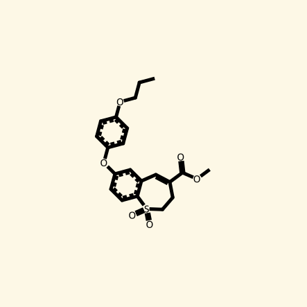 CCCOc1ccc(Oc2ccc3c(c2)C=C(C(=O)OC)CCS3(=O)=O)cc1